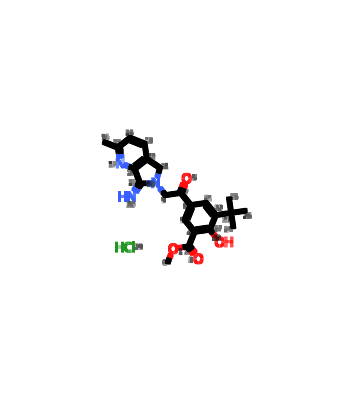 COC(=O)c1cc(C(=O)CN2Cc3ccc(C)nc3C2=N)cc(C(C)(C)C)c1O.Cl